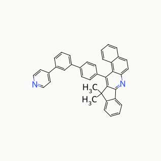 CC1(C)c2ccccc2-c2nc3ccc4ccccc4c3c(-c3ccc(-c4cccc(-c5ccncc5)c4)cc3)c21